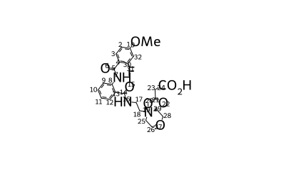 COc1ccc(C(=O)Nc2ccccc2C(=O)NCC[N+]2(OC(=O)CC(=O)O)CCOCC2)c(F)c1